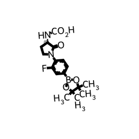 CC1(C)OB(c2ccc(N3CC[C@H](NC(=O)O)C3=O)c(F)c2)OC1(C)C